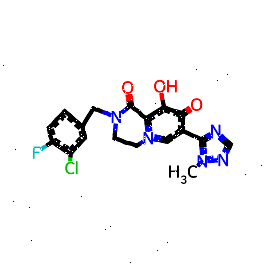 Cn1ncnc1-c1cn2c(c(O)c1=O)C(=O)N(Cc1ccc(F)c(Cl)c1)CC2